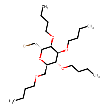 CCCCOC[C@H]1O[C@H](CBr)[C@@H](OCCCC)[C@@H](OCCCC)[C@@H]1OCCCC